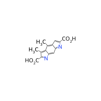 CC1=c2c(cc3c(c2C)C=C(C(=O)O)N=3)N=C1C(=O)O